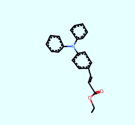 CCOC(=O)C=Cc1ccc(N(c2ccccc2)c2ccccc2)cc1